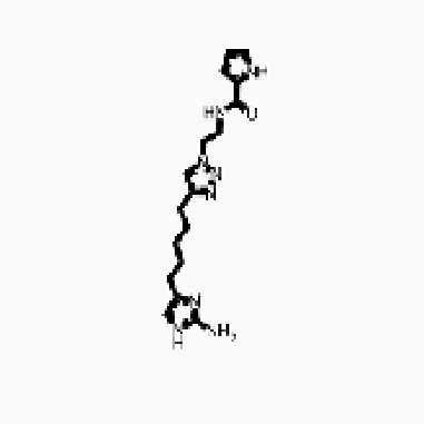 Nc1nc(CCCCCc2cn(CCNC(=O)c3ccc[nH]3)nn2)c[nH]1